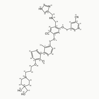 Cc1c(COc2cc(OCc3cncc(C#N)c3)c(CNCc3c[nH]cn3)cc2Cl)cccc1-c1cccc(OCCCN2CCC(O)(CO)CC2)c1Cl